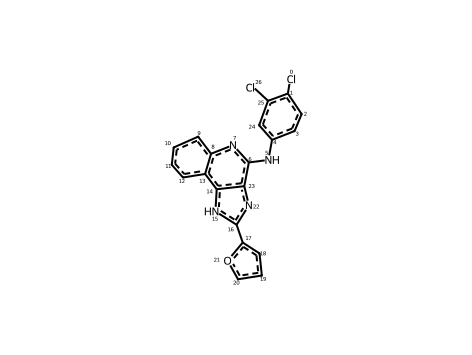 Clc1ccc(Nc2nc3ccccc3c3[nH]c(-c4ccco4)nc23)cc1Cl